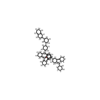 c1ccc(-n2c3ccccc3c3cc(-c4ccc(N(c5ccc(-c6cccc(-c7ccc8ccccc8c7)c6)cc5)c5ccccc5-n5c6ccccc6c6ccccc65)cc4)ccc32)cc1